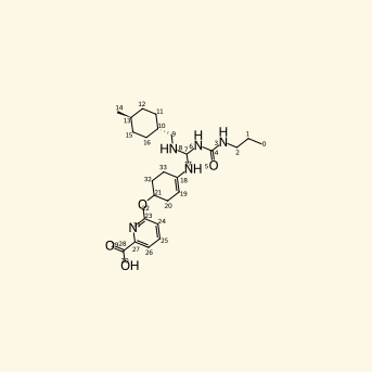 CCCNC(=O)NC(NC[C@H]1CC[C@H](C)CC1)NC1=CCC(Oc2cccc(C(=O)O)n2)CC1